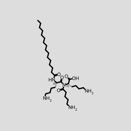 CCCCCCCCCCCCCCCC(=O)N[C@@H](CCCCN)C(=O)N(C(=O)CCCCN)[C@@H](CCCCN)C(=O)O